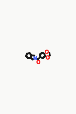 O=C(c1ccc2c(c1)OCCO2)n1cc2ccccc2c1